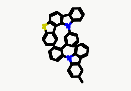 CC1C=Cc2c(c3ccccc3n2-c2ccccc2-c2cccc(-n3c4ccccc4c4ccc5sc6ccccc6c5c43)c2)C1